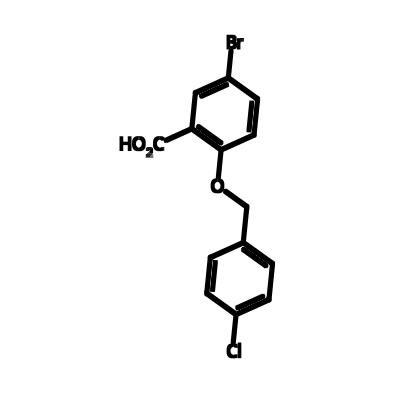 O=C(O)c1cc(Br)ccc1OCc1ccc(Cl)cc1